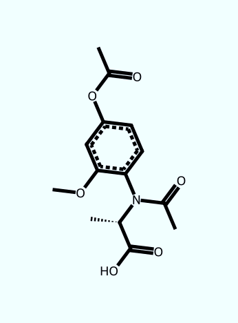 COc1cc(OC(C)=O)ccc1N(C(C)=O)[C@@H](C)C(=O)O